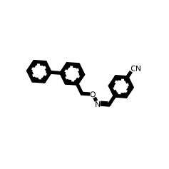 N#Cc1ccc(/[C]=N\OCc2cccc(-c3ccccc3)c2)cc1